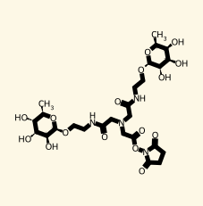 C[C@@H]1O[C@@H](OCCNC(=O)CN(CC(=O)NCCO[C@@H]2O[C@@H](C)[C@@H](O)[C@@H](O)[C@@H]2O)CC(=O)ON2C(=O)CCC2=O)[C@@H](O)[C@H](O)[C@@H]1O